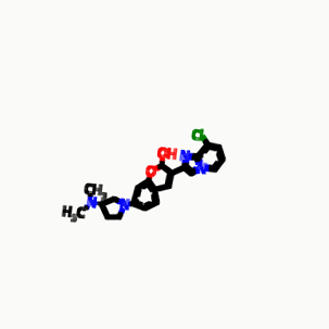 CN(C)[C@H]1CCN(c2ccc3c(c2)OC(O)C(c2cn4cccc(Cl)c4n2)=C3)C1